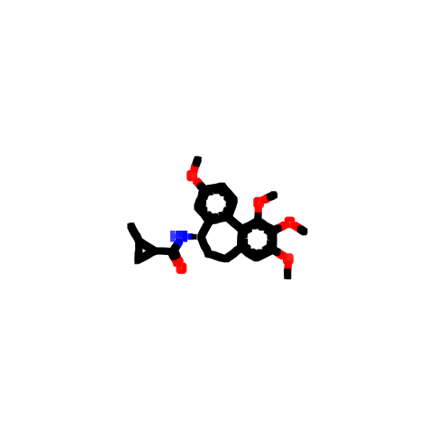 COc1ccc2c(c1)[C@@H](NC(=O)C1CC1C)CCc1cc(OC)c(OC)c(OC)c1-2